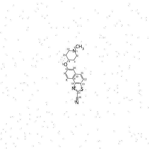 CN1CCC(Oc2ccc3c(ccc4sc(C#N)nc43)c2)CC1